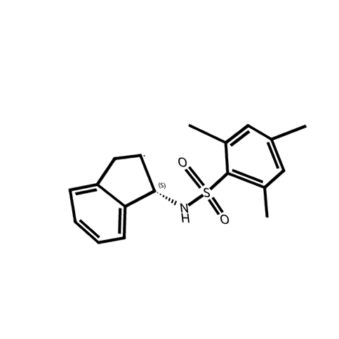 Cc1cc(C)c(S(=O)(=O)N[C@H]2[CH]Cc3ccccc32)c(C)c1